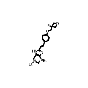 CCN1Cc2[nH]c(/C=C/c3ccc(OCC4(F)COC4)cc3)nc2N(CC)C1